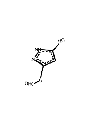 O=COc1cc(N=O)[nH]n1